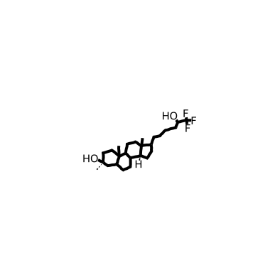 CC12CC[C@](C)(O)CC1CCC1C2CCC2(C)C(CCCCC(O)C(F)(F)F)CC[C@@H]12